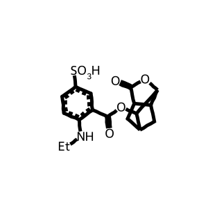 CCNc1ccc(S(=O)(=O)O)cc1C(=O)OC1C2CC3C(=O)OC1C3C2